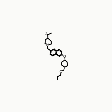 CCCOC[C@H]1CC[C@H](Oc2ccc3cc(CN4CCC(C(C)=O)CC4)ccc3c2)CC1